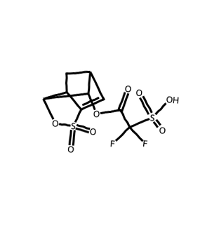 O=C(OC1C2C=C3C(C2)C1OS3(=O)=O)C(F)(F)S(=O)(=O)O